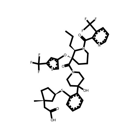 CCC[C@H]1N(C(=O)c2ncccc2C(F)(F)F)CCC[C@@]1(Oc1csc(C(F)(F)F)c1)C(=O)N1CCC(O)(c2ccccc2S[C@@H]2CC[C@@](C)(CC(=O)O)C2)CC1